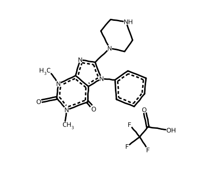 Cn1c(=O)c2c(nc(N3CCNCC3)n2-c2ccccc2)n(C)c1=O.O=C(O)C(F)(F)F